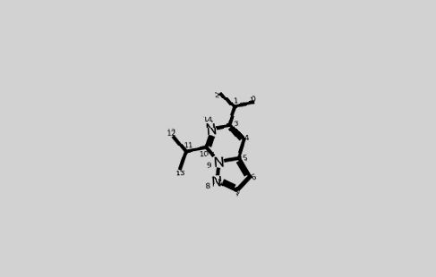 CC(C)c1cc2ccnn2c(C(C)C)n1